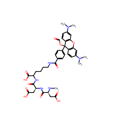 CN[C@@H](CC(=O)O)C(=O)N[C@@H](CC(=O)O)C(=O)NC(CCCCNC(=O)c1ccc(C2(OC=O)c3ccc(N(C)C)cc3Oc3cc(N(C)C)ccc32)cc1)C(=O)O